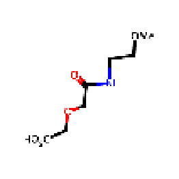 COCCNC(=O)COCC(=O)O